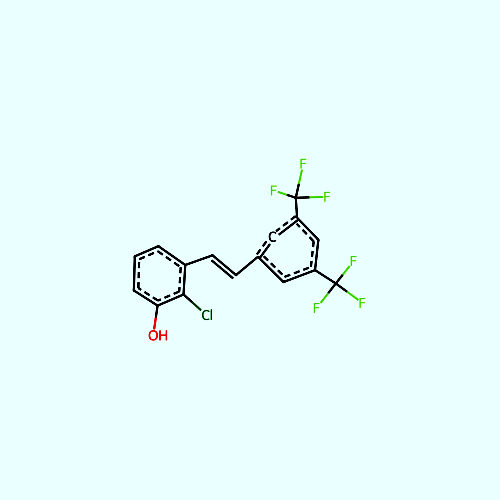 Oc1cccc(/C=C/c2cc(C(F)(F)F)cc(C(F)(F)F)c2)c1Cl